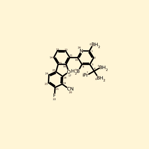 Bc1cc(C(B)(B)C(C)C)c(B)c(-c2cccc3c2oc2c(C#N)c(F)ccc23)n1